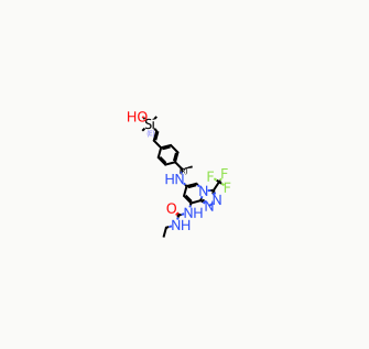 CCNC(=O)Nc1cc(N[C@H](C)c2ccc(/C=C/[Si](C)(C)O)cc2)cn2c(C(F)(F)F)nnc12